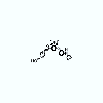 O=C(C=CN1CCN(CCO)CC1)c1ccc(Sc2cccc(NC3CCOCC3)c2)c(C(F)(F)F)c1C(F)(F)F